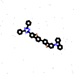 c1ccc(-c2nc(-c3ccccc3)nc(-c3ccc4c(c3)sc3cc(-c5ccc6c(c5)sc5ccc(-n7c8ccccc8c8ccccc87)cc56)ccc34)n2)cc1